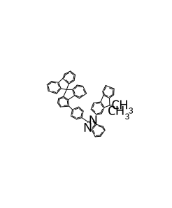 CC1(C)c2ccccc2-c2ccc(-n3c(-c4ccc(-c5cccc6c5-c5ccccc5C65c6ccccc6-c6ccccc65)cc4)nc4ccccc43)cc21